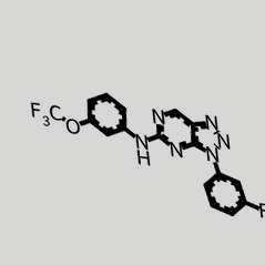 Fc1cccc(-n2nnc3cnc(Nc4cccc(OC(F)(F)F)c4)nc32)c1